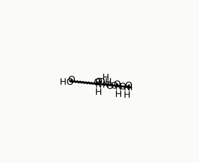 O=C(O)CCCCCCCCCCCCCCCCCC(=O)N[C@H](CCCNCCOCCOCC(=O)NCCOCCNC(=O)CI)C(=O)O